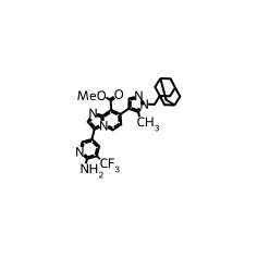 COC(=O)c1c(-c2cnn(CC34CC5CC(CC(C5)C3)C4)c2C)ccn2c(-c3cnc(N)c(C(F)(F)F)c3)cnc12